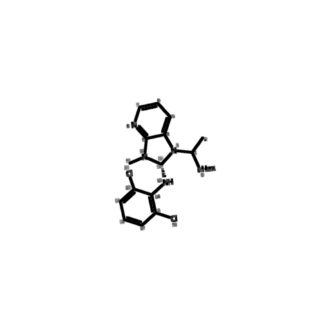 CCCCCCC(C)N1c2cccnc2N(C)[C@H]1Nc1c(Cl)cccc1Cl